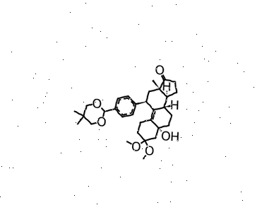 COC1(OC)CCC2=C3[C@@H](CC[C@@]2(O)C1)[C@@H]1CCC(=O)[C@@]1(C)C[C@@H]3c1ccc(C2OCC(C)(C)CO2)cc1